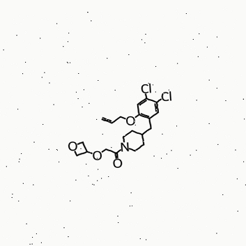 C=CCOc1cc(Cl)c(Cl)cc1CC1CCN(C(=O)COC2COC2)CC1